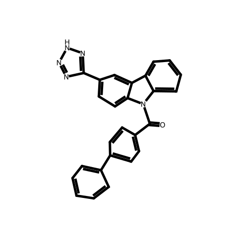 O=C(c1ccc(-c2ccccc2)cc1)n1c2ccccc2c2cc(-c3nn[nH]n3)ccc21